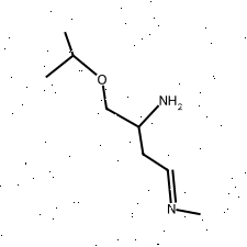 C/N=C/CC(N)COC(C)C